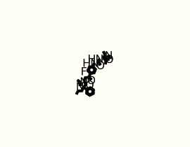 CCCC1(c2ccccc2)N=C(C)N(CC(=O)c2ccc(NC(=O)Nc3c(C)noc3C)cc2F)C1=O